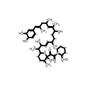 C/C(=C\C1=CC(O)C(O)C=C1)CC(C)/C=C(\C)C(O)CCC(C)/C=C/C(O)C(C)C1CCC(C)C(O)(C(=O)C(=O)N2CCCCC2C=O)O1